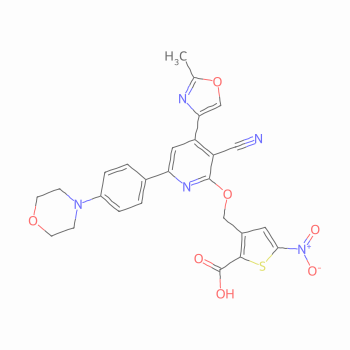 Cc1nc(-c2cc(-c3ccc(N4CCOCC4)cc3)nc(OCc3cc([N+](=O)[O-])sc3C(=O)O)c2C#N)co1